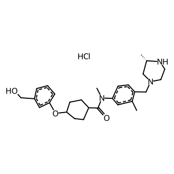 Cc1cc(N(C)C(=O)C2CCC(Oc3cccc(CO)c3)CC2)ccc1CN1CCN[C@@H](C)C1.Cl